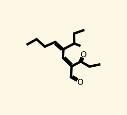 CCC/C=C(\C=C(\C=O)C(=O)CC)C(C)CC